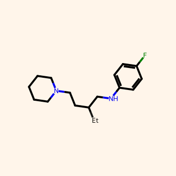 CCC(CCN1CCCCC1)CNc1ccc(F)cc1